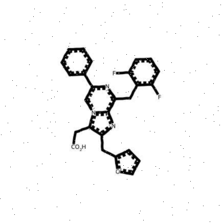 O=C(O)Cc1c(Cc2ccco2)nc2c(Cc3c(F)cccc3F)nc(-c3ccccc3)cn12